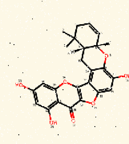 CC1(C)CC=C[C@]2(C)Oc3c(O)cc4oc5c(=O)c6c(O)cc(O)cc6oc5c4c3C[C@H]12